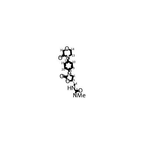 CNC(=O)NC[C@H]1CN(c2ccc(N3CCOCC3=O)cc2)C(=O)O1